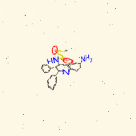 CS(=O)(=O)Nc1c(-c2ccccc2)c(-c2ccccc2)nc2ccc(N)cc12